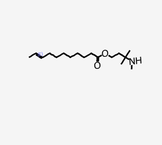 C/C=C/CCCCCCCC(=O)OCCC(C)(C)NC